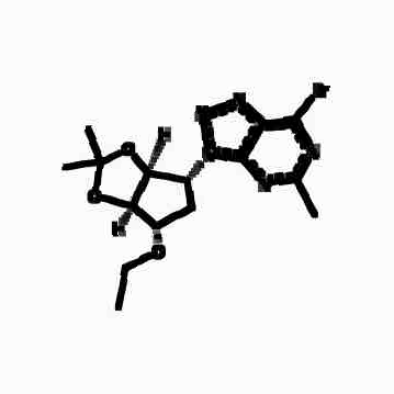 CCO[C@H]1C[C@@H](n2nnc3c(Br)nc(C)nc32)[C@@H]2OC(C)(C)O[C@@H]21